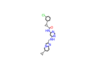 O=C(Nc1cc(NCc2cn3cc(C4CC4)ccc3n2)ncn1)C1CC1c1cccc(Cl)c1